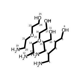 NCCCCCO.NCCCO.NCCOCCO.NCCOCCO